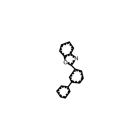 c1ccc(-c2cccc(-c3nc4ccccc4o3)c2)cc1